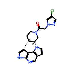 C[C@@H]1CCN(C(=O)Cn2cc(Cl)cn2)C[C@@H]1n1ccc2cnc3[nH]ccc3c21